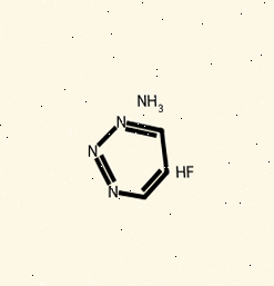 F.N.c1cnnnc1